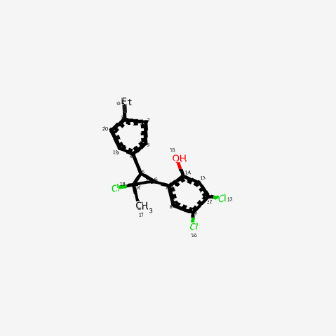 CCc1ccc(C2C(c3cc(Cl)c(Cl)cc3O)C2(C)Cl)cc1